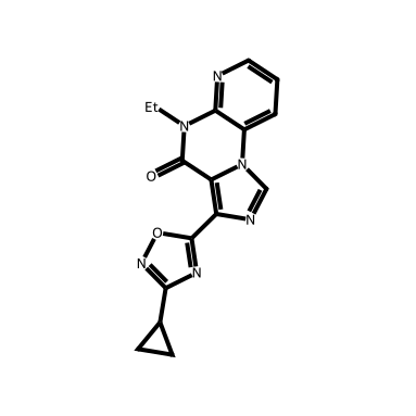 CCn1c(=O)c2c(-c3nc(C4CC4)no3)ncn2c2cccnc21